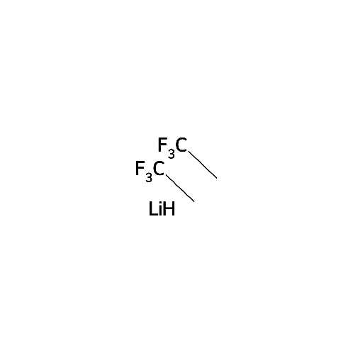 CC(F)(F)F.CC(F)(F)F.[LiH]